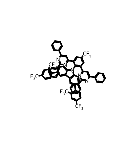 FC(F)(F)c1cc(-c2cc(-c3ccccc3)nc(-c3ccccc3)n2)c(-n2c3ccc(-c4ccc(C(F)(F)F)cc4C(F)(F)F)cc3c3cc(-c4ccc(C(F)(F)F)cc4C(F)(F)F)ccc32)c(-c2cc(-c3ccccc3)nc(-c3ccccc3)n2)c1